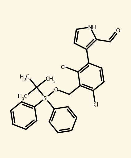 CC(C)(C)[Si](OCc1c(Cl)ccc(-c2cc[nH]c2C=O)c1Cl)(c1ccccc1)c1ccccc1